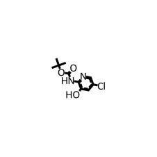 CC(C)(C)OC(=O)Nc1ncc(Cl)cc1O